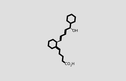 O=C(O)CCC/C=C1\CCCC[C@H]1/C=C/C=C/[C@@H](O)C1CCCCC1